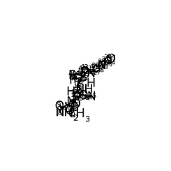 COC(=O)C(CCC(N)=O)NC(=O)c1ccc(NCC#Cc2sc3c(NC4CCC(N5CC6(CCOCC6)C5)CC4)cccc3c2CC(F)(F)F)c(OCC#N)c1